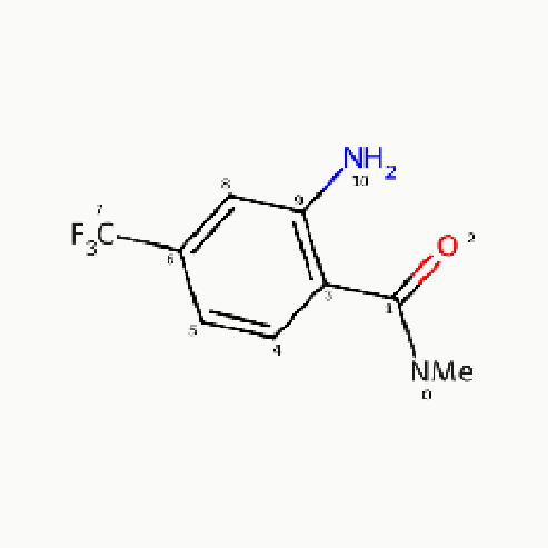 CNC(=O)c1ccc(C(F)(F)F)cc1N